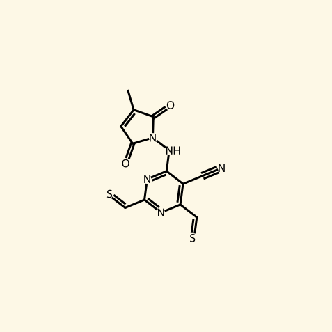 CC1=CC(=O)N(Nc2nc(C=S)nc(C=S)c2C#N)C1=O